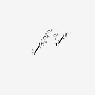 [O-2].[O-2].[O-2].[Ti][Hf+3].[Ti][Hf+3]